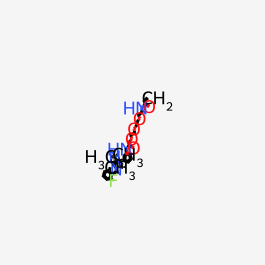 C=CC(=O)NCCOCCOCCOCC(=O)Nc1cccc([C@H]2CN(Cc3c(C)cccc3F)C[C@@H]2N(C)C)c1